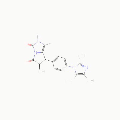 CCc1[nH]c(=O)n2c1C(c1ccc(-n3c(C)nc(C)c3C)cc1)C(C)C2=O